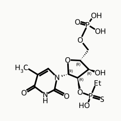 CCP(O)(=S)O[C@@H]1[C@H](O)[C@@H](COP(=O)(O)O)O[C@H]1n1cc(C)c(=O)[nH]c1=O